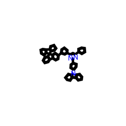 c1ccc(-c2cc(-c3cccc(-c4ccc5c(c4)C4(c6ccccc6-c6ccccc64)c4ccccc4-5)c3)nc(-c3ccc(-n4c5ccccc5c5ccccc54)cc3)n2)cc1